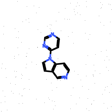 c1cc(-n2ccc3cnccc32)ncn1